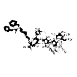 CC[C@H](C)C1O[C@H](O[C@H]2C([C@H]3COC(C)(C)O3)O[C@@](OCCCCCN(Cc3ccccc3)C(=O)OCc3ccccc3)(C(=O)OC)C[C@H]2C)C(OC(C)=O)[C@@H](O[C@H]2O[C@@H]([C@@H](C)CC)[C@@H](PBB=O)C(C)C2O[C@H]2OC(COC(C)=O)[C@@H](OC(C)=O)C(OC(C)=O)[C@H]2C)[C@@H]1PBB=O